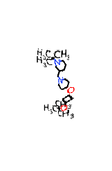 CC(C)(C)O[C@H]1C[C@H](OC2CCN(CC3CCCN(C(C)(C)C)C3)CC2)C1